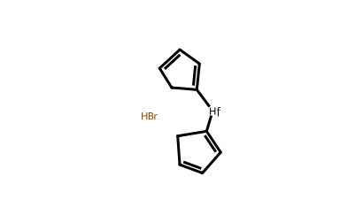 Br.C1=CC[C]([Hf][C]2=CC=CC2)=C1